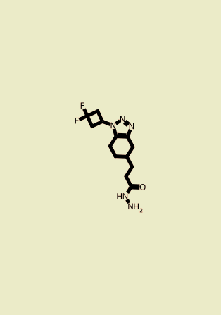 NNC(=O)CCC1CCc2c(nnn2C2CC(F)(F)C2)C1